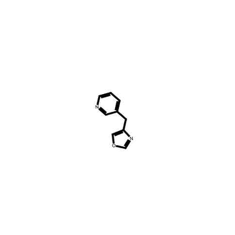 [c]1nc(Cc2cccnc2)co1